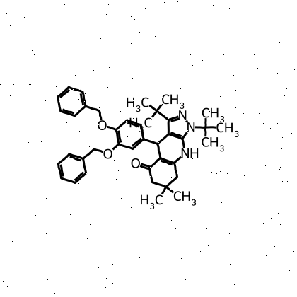 CC1(C)CC(=O)C2=C(C1)Nc1c(c(C(C)(C)C)nn1C(C)(C)C)C2c1ccc(OCc2ccccc2)c(OCc2ccccc2)c1